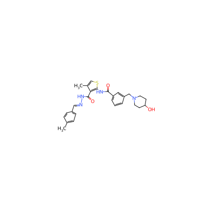 Cc1ccc(C=NNC(=O)c2c(C)csc2NC(=O)c2cccc(CN3CCC(O)CC3)c2)cc1